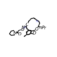 CCCC1C/C=C/CCCC/C(=N/OCC(=O)N2CCCCC2)Cc2cc(C)cc(C)c2C(=O)O1